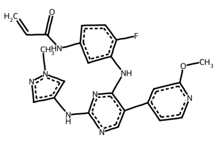 C=CC(=O)Nc1ccc(F)c(Nc2nc(Nc3cnn(C)c3)ncc2-c2ccnc(OC)c2)c1